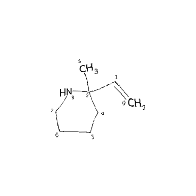 C=CC1(C)CCCCN1